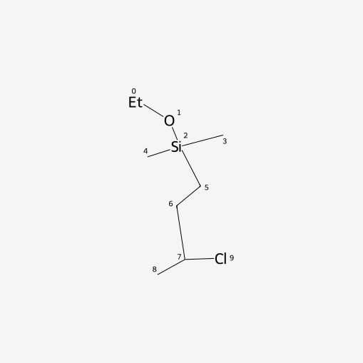 CCO[Si](C)(C)CCC(C)Cl